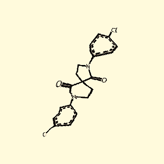 O=C1N(c2ccc(Cl)cc2)CCC12CCN(c1ccc(Cl)cc1)C2=O